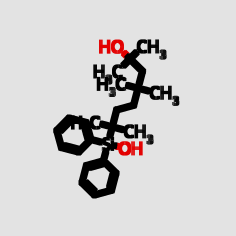 CC(C)(O)CC(C)(C)CCC(C)(C)[Si](O)(c1ccccc1)c1ccccc1